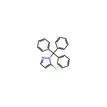 Clc1ccnn1C(c1ccccc1)(c1ccccc1)c1ccccc1